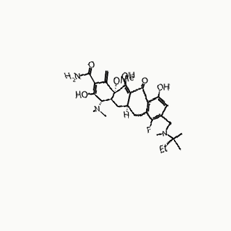 C=C1C(C(N)=O)=C(O)[C@@H](N(C)C)C2C[C@@H]3Cc4c(F)c(CN(C)C(C)(C)CC)cc(O)c4C(=O)C3=C(O)[C@]12OC